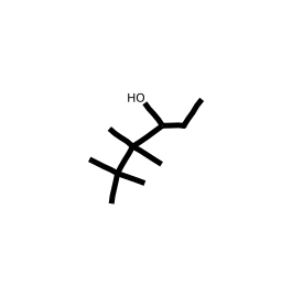 CCC(O)C(C)(C)C(C)(C)C